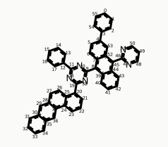 c1ccc(-c2ccc3c(-c4nc(-c5ccccc5)nc(-c5cccc6c5ccc5cc7ccccc7cc56)n4)c4ccccc4c(-c4ncccn4)c3c2)cc1